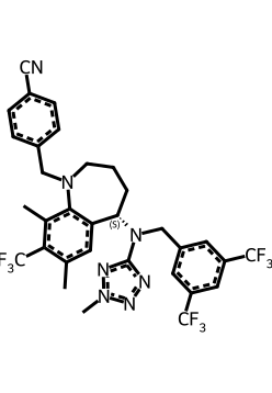 Cc1cc2c(c(C)c1C(F)(F)F)N(Cc1ccc(C#N)cc1)CCC[C@@H]2N(Cc1cc(C(F)(F)F)cc(C(F)(F)F)c1)c1nnn(C)n1